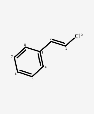 ClC=Cc1ccccc1